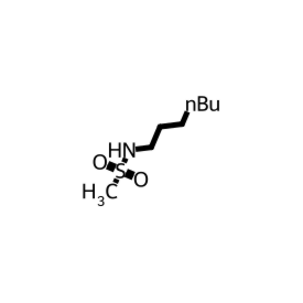 C[CH]CCCCCNS(C)(=O)=O